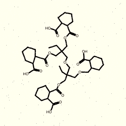 CCC(COCC1CCCCC1C(=O)O)(COCC(CC)(COC(=O)C1CCCCC1C(=O)O)COC(=O)C1CCCCC1C(=O)O)COC(=O)C1CCCCC1C(=O)O